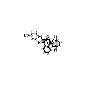 CCN1CCN(CCC(=O)O[C@H]2C[C@H]3CC[C@@H](C2)N3c2ccc(C#N)c3ccccc23)CC1